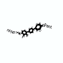 CCCCCCOc1ccc(-c2ccc(-c3ccc(CCCCC)cc3)cc2)c(F)c1F